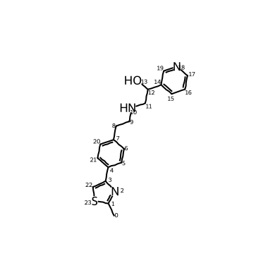 Cc1nc(-c2ccc(CCNCC(O)c3cccnc3)cc2)cs1